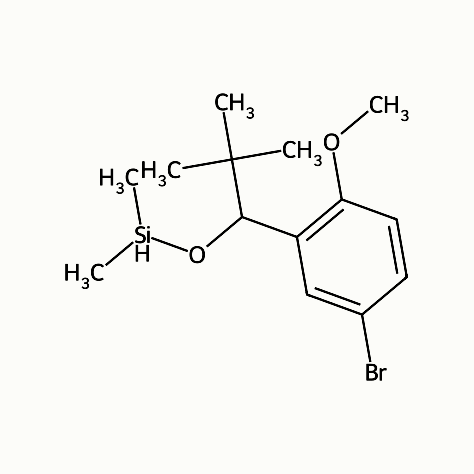 COc1ccc(Br)cc1C(O[SiH](C)C)C(C)(C)C